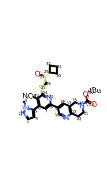 Cn1nccc1-c1cc(-c2cnc3c(c2)CN(C(=O)OC(C)(C)C)CC3)nc(SC[S+]([O-])C2CCC2)c1C#N